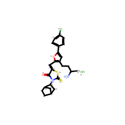 CCC(N)CCc1cc(-c2ccc(Cl)cc2)oc1/C=C1\SC(=S)N(C2CC3CCC2C3)C1=O.Cl